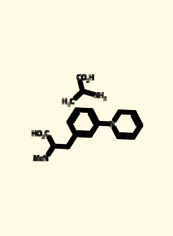 CC(N)C(=O)O.CNC(Cc1cccc(N2C=CC=CC2)c1)C(=O)O